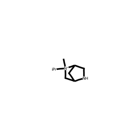 CC(C)[N+]1(C)CC2CC1CN2